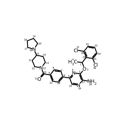 CC(Oc1nc(-c2ccc(C(=O)N3CCC(N4CCCC4)CC3)cc2)cnc1N)c1c(Cl)cccc1Cl